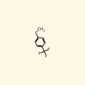 CSc1[c]cc(C(F)(F)F)cc1